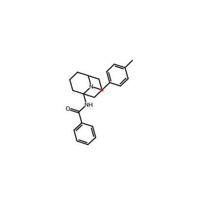 Cc1ccc(CN2C3CCCC2(NC(=O)c2ccccc2)CCC3)cc1